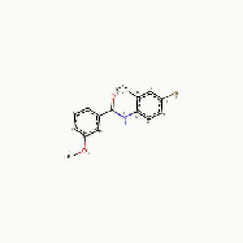 CCCOc1cccc(C(=O)Nc2ccc(Br)cc2C(=O)O)c1